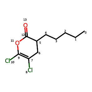 CCCCCC1CC(Cl)=C(Cl)OC1=O